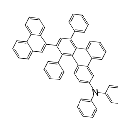 c1ccc(-c2cc(-c3cc4ccccc4c4ccccc34)c(-c3ccccc3)c3c4ccc(N(c5ccccc5)c5ccccc5)cc4c4ccccc4c23)cc1